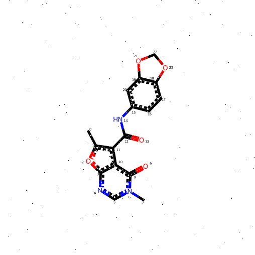 Cc1oc2ncn(C)c(=O)c2c1C(=O)Nc1ccc2c(c1)OCO2